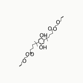 C=CCOCCOC(=O)CCCC(C)(C)c1cc(O)c(C(C)(C)CCCC(=O)OCCOCC=C)cc1O